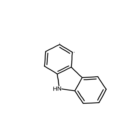 [c]1[c]c2c(cc1)[nH]c1ccccc12